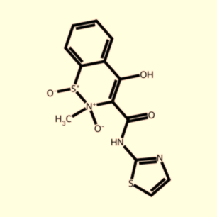 C[N+]1([O-])C(C(=O)Nc2nccs2)=C(O)c2ccccc2[S+]1[O-]